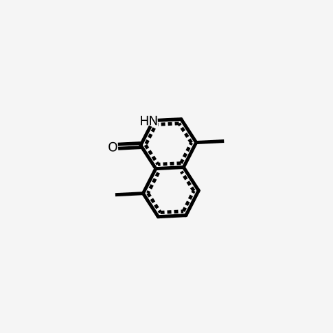 Cc1c[nH]c(=O)c2c(C)cccc12